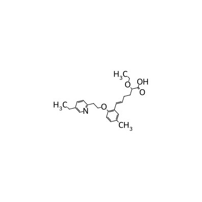 CCOC(CCC=Cc1cc(C)ccc1OCCc1ccc(CC)cn1)C(=O)O